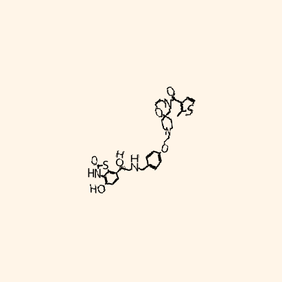 Cc1sccc1C(=O)N1CCOC2(CCN(CCOc3ccc(CNC[C@H](O)c4ccc(O)c5[nH]c(=O)sc45)cc3)CC2)C1